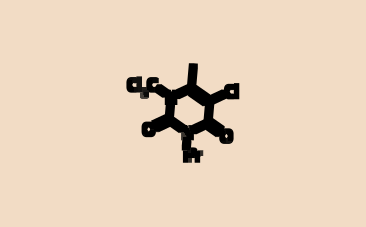 Cc1c(Cl)c(=O)n(C(C)C)c(=O)n1C(Cl)(Cl)Cl